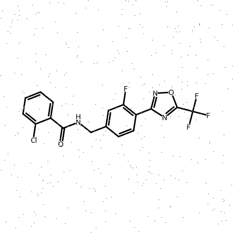 O=C(NCc1ccc(-c2noc(C(F)(F)F)n2)c(F)c1)c1ccccc1Cl